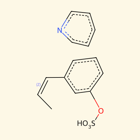 C/C=C\c1cccc(OS(=O)(=O)O)c1.c1ccncc1